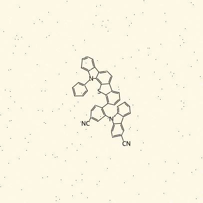 N#Cc1ccc(-c2cccc3c2sc2c3ccc3c4ccccc4n(-c4ccccc4)c32)c(-n2c3ccccc3c3cc(C#N)ccc32)c1